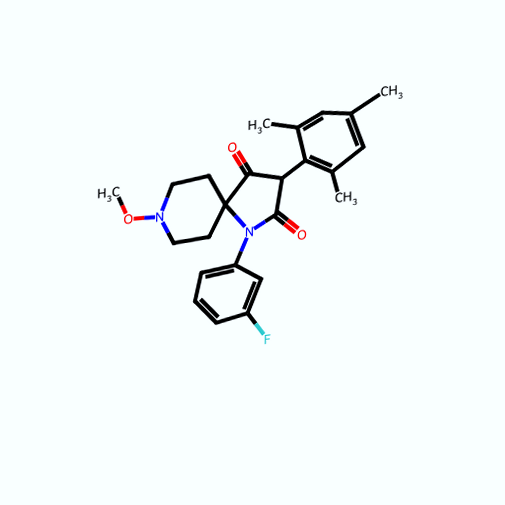 CON1CCC2(CC1)C(=O)C(c1c(C)cc(C)cc1C)C(=O)N2c1cccc(F)c1